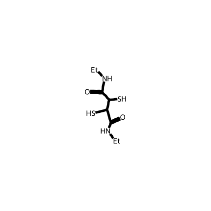 CCNC(=O)C(S)C(S)C(=O)NCC